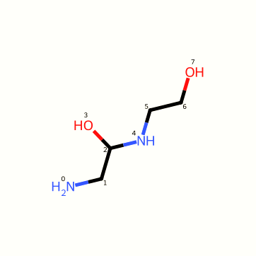 NCC(O)NCCO